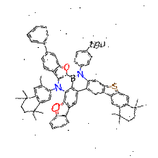 Cc1cc2c(cc1N1c3c(oc4cc(-c5ccccc5)ccc34)B3c4c(cc5c(oc6ccccc65)c41)-c1cc4c(cc1N3c1ccc(C(C)(C)C)cc1)sc1cc3c(cc14)C(C)(C)CCC3(C)C)C(C)(C)CCC2(C)C